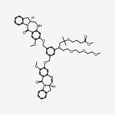 COCCOCCOCCN(CC(C)(C)SCCCC(=O)OC)c1cc(COc2cc3c(cc2OC)C(=O)N2c4ccccc4C[C@H]2C=N3)cc(COc2cc3c(cc2OC)C(=O)N2c4ccccc4C[C@H]2CN3)c1